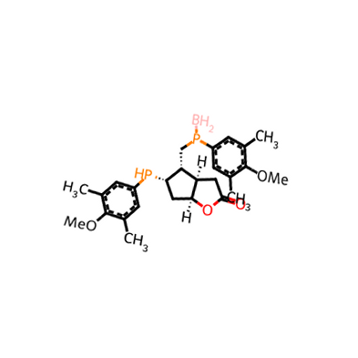 BP(C[C@@H]1[C@H]2CC(=O)O[C@H]2C[C@@H]1Pc1cc(C)c(OC)c(C)c1)c1cc(C)c(OC)c(C)c1